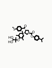 CSc1ccc(C(=O)[C@@H]2CN(C(=O)Oc3ccc(C(C)C)cc3)C[C@H]2C2(C)C=C(C)C(OC(C)(C)C(O)O)=C(C)C2)cc1